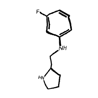 Fc1cccc(NCC2CCCN2)c1